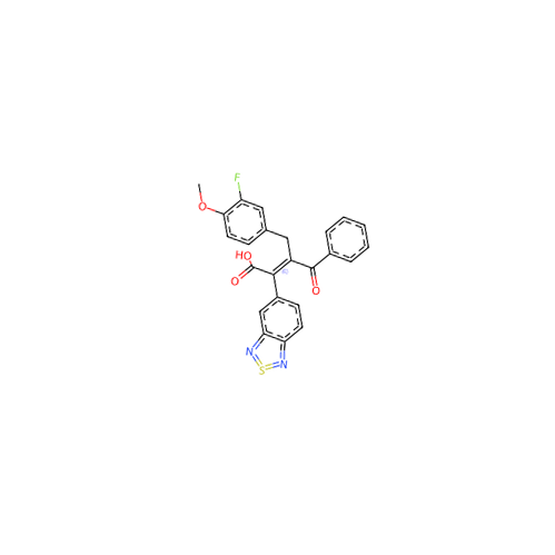 COc1ccc(C/C(C(=O)c2ccccc2)=C(\C(=O)O)c2ccc3nsnc3c2)cc1F